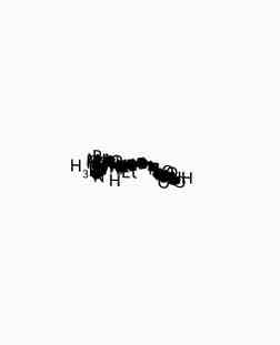 CCc1cc(Nc2ncc(Br)c(Nc3ccc4nccnc4c3P(C)(C)=O)n2)c(OC)cc1N1CCC([C@H]2CC[C@H](CC3CN(c4ccc5c(c4)C(=O)N(C4CCC(=O)NC4=O)C5=O)C3)CC2)CC1